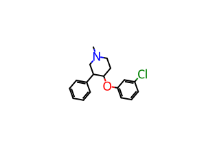 CN1CCC(Oc2cccc(Cl)c2)C(c2ccccc2)C1